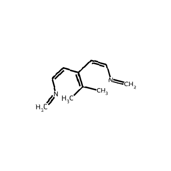 C=N/C=C\C(/C=C\N=C)=C(C)C